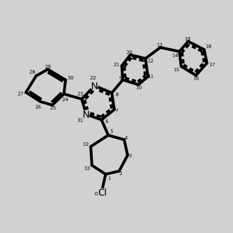 ClC1CCCC(c2cc(-c3ccc(Cc4ccccc4)cc3)nc(C3=CC=CCC=C3)n2)CC1